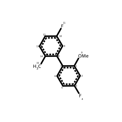 COc1cc(F)ccc1-c1cc(F)ccc1C